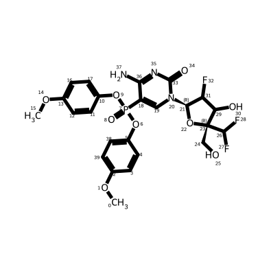 COc1ccc(OP(=O)(Oc2ccc(OC)cc2)c2cn([C@@H]3O[C@@](CO)(C(F)F)C(O)C3F)c(=O)nc2N)cc1